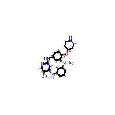 CC(=O)Nc1cccc(Nc2nc(Nc3ccc(OC4CCNCC4)cc3)ncc2C)c1